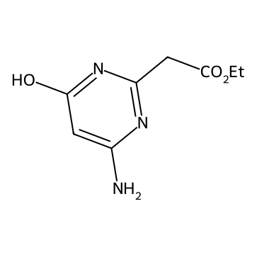 CCOC(=O)Cc1nc(N)cc(O)n1